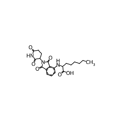 CCCCCCC(Nc1cccc2c1C(=O)N(C1CCC(=O)NC1=O)C2=O)C(=O)O